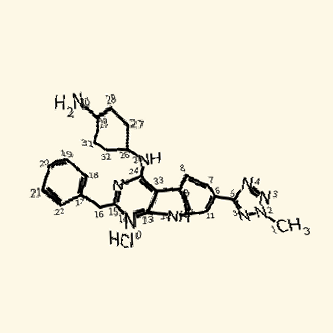 Cl.Cn1nnc(-c2ccc3c(c2)[nH]c2nc(Cc4ccccc4)nc(NC4CCC(N)CC4)c23)n1